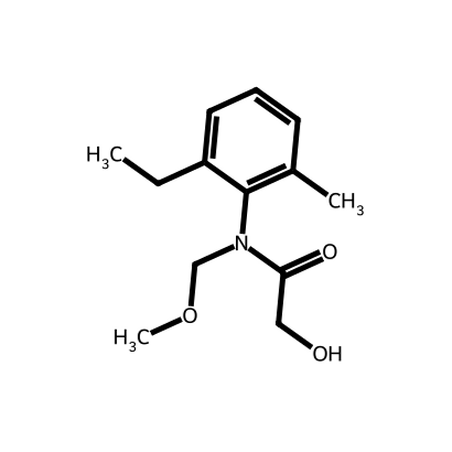 CCc1cccc(C)c1N(COC)C(=O)CO